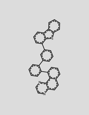 c1cc(-c2ccccc2-c2cccc3ccc4nccnc4c23)cc(-c2cccc3c2sc2ccccc23)c1